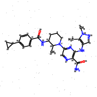 Cc1c(Nc2nc(N3CCCC(NC(=O)c4ccc(C5CC5)cc4)C3C)cnc2C(N)=O)cnn1C